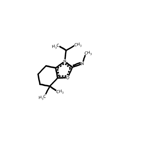 C/N=c1/oc2c(n1C(C)C)CCCC2(C)C